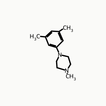 Cc1cc(C)cc(N2CCN(C)CC2)c1